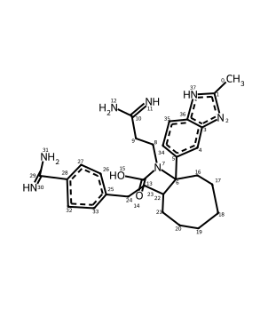 Cc1nc2cc(C3(N(CCC(=N)N)C(=O)O)CCCCCCC3CCc3ccc(C(=N)N)cc3)ccc2[nH]1